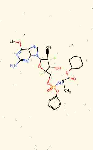 C#C[C@]1(F)C(N2C=NC3C(OCC)=NC(N)=NC32)O[C@](F)(COP(=O)(NC(C)C(=O)OC2CCCCC2)Oc2ccccc2)[C@H]1O